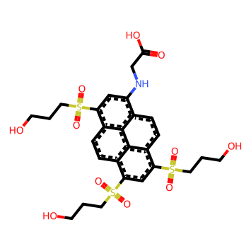 O=C(O)CNc1cc(S(=O)(=O)CCCO)c2ccc3c(S(=O)(=O)CCCO)cc(S(=O)(=O)CCCO)c4ccc1c2c43